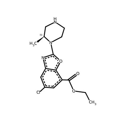 CCOC(=O)c1cc(Cl)cc2nc(N3CCNC[C@@H]3C)oc12